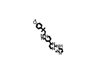 COc1ccc(C(C)(C)Cc2nnc3cc(-c4ccnc(Nc5ccnn5C)n4)ccn23)cc1